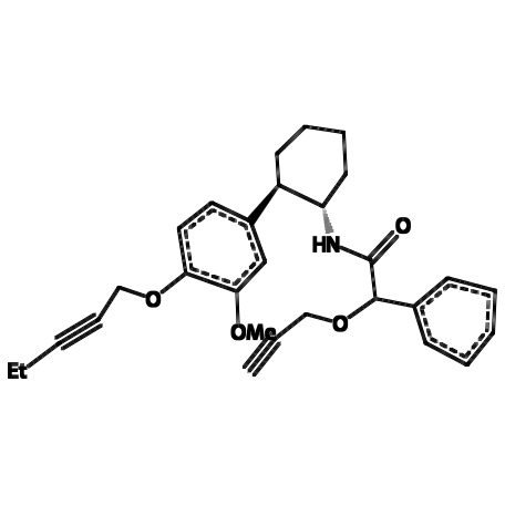 C#CCOC(C(=O)N[C@H]1CCCC[C@@H]1c1ccc(OCC#CCC)c(OC)c1)c1ccccc1